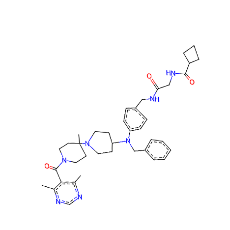 Cc1ncnc(C)c1C(=O)N1CCC(C)(N2CCC(N(Cc3ccccc3)c3ccc(CNC(=O)CNC(=O)C4CCC4)cc3)CC2)CC1